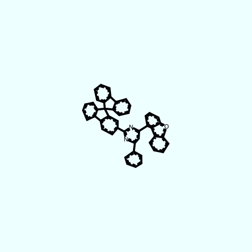 c1ccc(-c2cc(-c3cccc4oc5ccccc5c34)nc(-c3ccc4c(c3)C3(c5ccccc5-c5ccccc53)c3ccccc3-4)n2)cc1